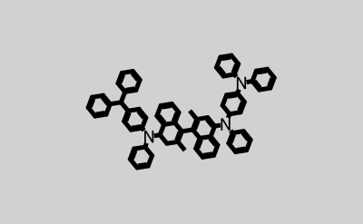 CC1=C(c2c(C)cc(N(c3ccccc3)C3C=CC(N(c4ccccc4)c4ccccc4)=CC3)c3ccccc23)c2ccccc2C(N(c2ccc(C(c3ccccc3)c3ccccc3)cc2)C2C=CC=CC2)C1